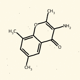 Cc1cc(C)c2oc(C)c(N)c(=O)c2c1